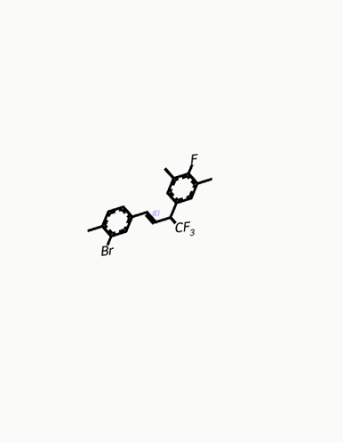 Cc1ccc(/C=C/C(c2cc(C)c(F)c(C)c2)C(F)(F)F)cc1Br